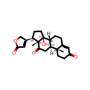 C[C@]12CCC(=O)C=C1CC[C@@H]1[C@@H]2CC(=O)[C@]2(C)[C@@H](C3=CC(=O)OC3)CC[C@]12O